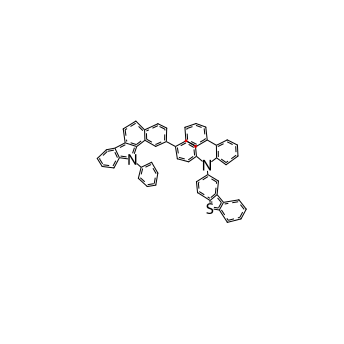 c1ccc(-c2ccccc2N(c2ccc(-c3ccc4ccc5c6ccccc6n(-c6ccccc6)c5c4c3)cc2)c2ccc3sc4ccccc4c3c2)cc1